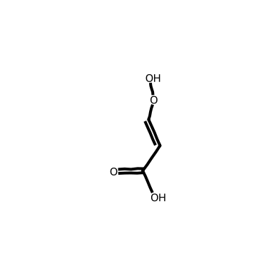 O=C(O)C=COO